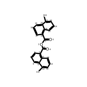 O=C(OC(=O)c1cccc2c(I)cccc12)c1cccc2c(I)cccc12